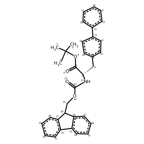 CC(C)(C)OC(=O)[C@H](Cc1ccc(-c2ccccc2)cc1)NC(=O)OCC1c2ccccc2-c2ccccc21